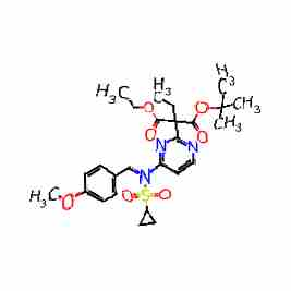 CCOC(=O)C(CC)(C(=O)OC(C)(C)C)c1nccc(N(Cc2ccc(OC)cc2)S(=O)(=O)C2CC2)n1